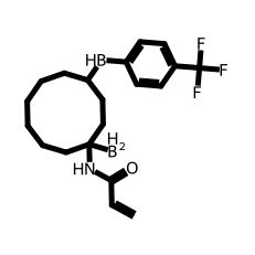 BC1(NC(=O)C=C)CCCCCCC(Bc2ccc(C(F)(F)F)cc2)CC1